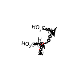 CC#Cc1cc(C(=O)NC2CC3(CC(CC(=O)O)C3)C2)c2c(cnn2Cc2ccc(-c3ccc(CC#Cc4ccc(C(=O)NC5CC6(C5)CC(C(=O)O)C6)c5c4cnn5Cc4ccc(-c5nccs5)cc4)cc3)cc2)c1